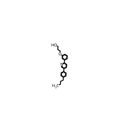 CCCCc1ccc(-c2ccc(-c3cccc(OCCCO)c3)nc2)cc1